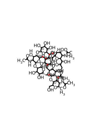 CC(=O)N[C@H]1C(O)[C@H](O[C@@H]2OC(CO[C@]3(C(=O)O)C[C@@H](O)[C@@H](NC(C)=O)C([C@H](O)[C@H](O)CO)O3)[C@H](O)C(O)[C@@H]2O)C(CO)O[C@H]1OC1C(O)[C@H](O)[C@@H](CO)O[C@@H]1O[C@@H]1C(O)[C@H](O[C@@H]2C(CO)O[C@@H](O[C@@H]3C(CO)O[C@@H](C)[C@@H](NC(C)=O)C3O)[C@@H](NC(C)=O)C2O)OC(CO)[C@H]1O